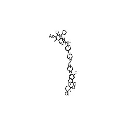 CC(=O)c1c(C)c2cnc(Nc3ccc(N4CCN(CCN5CCN(c6cc7c(cc6F)C(=O)N(C6CCC(=O)NC6=O)C7)CC5)CC4)cn3)nc2n(C2CCCC2)c1=O